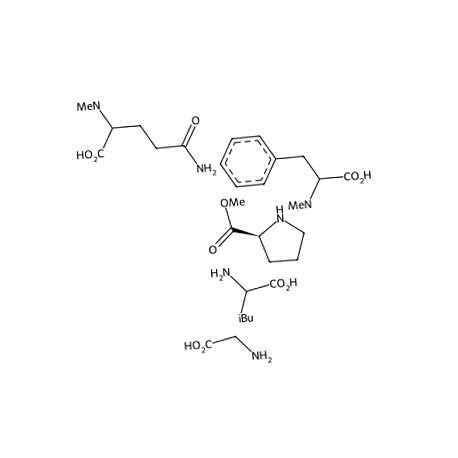 CCC(C)C(N)C(=O)O.CNC(CCC(N)=O)C(=O)O.CNC(Cc1ccccc1)C(=O)O.COC(=O)[C@@H]1CCCN1.NCC(=O)O